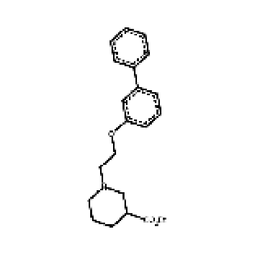 CCOC(=O)C1CCCN(CCOc2cccc(-c3ccccc3)c2)C1